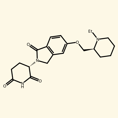 CCN1CCCC[C@H]1COc1ccc2c(c1)CN([C@H]1CCC(=O)NC1=O)C2=O